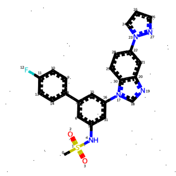 CS(=O)(=O)Nc1cc(-c2ccc(F)cc2)cc(-n2cnc3cc(-n4cccn4)ccc32)c1